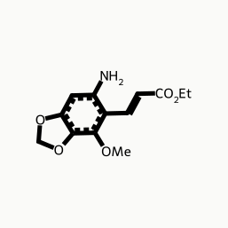 CCOC(=O)/C=C/c1c(N)cc2c(c1OC)OCO2